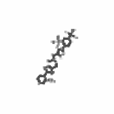 Nc1ccccc1-c1nc2c([nH]1)C=NN(Cc1cc(-c3ccc(C(F)(F)F)cc3C(F)(F)F)no1)C2